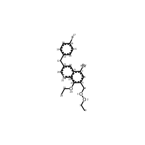 CCOOCc1cc(Br)c2cc(Cc3ccc(F)cc3)cnc2c1OCC